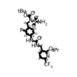 CC(C)Oc1nc(C(F)(F)F)ccc1CNC(=O)Nc1ccc(CN(C(=O)OC(C)(C)C)S(N)(=O)=O)c(F)c1